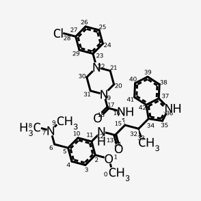 COc1ccc(CN(C)C)cc1NC(=O)[C@H](NC(=O)N1CCN(c2cccc(Cl)c2)CC1)[C@H](C)c1c[nH]c2ccccc12